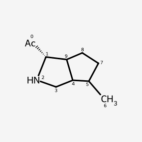 CC(=O)[C@H]1NCC2C(C)CCC21